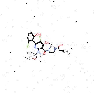 C=CC(=O)N1CCN2C(=O)c3c(N4CCC(OC)[C@@H]4C)nc(-c4c(O)cccc4F)c(F)c3OC[C@H]2C1